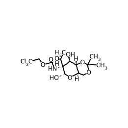 CC(O)[C@]1(NC(=O)OCC(Cl)(Cl)Cl)[C@@H](O)O[C@@H]2COC(C)(C)O[C@H]2[C@@H]1O